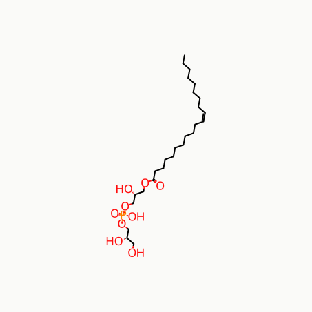 CCCCCCCC/C=C\CCCCCCCCCC(=O)OC[C@@H](O)COP(=O)(O)OC[C@@H](O)CO